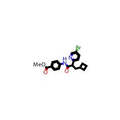 COC(=O)c1ccc(NC(=O)C(CC2CCC2)c2ccc(Br)cn2)cc1